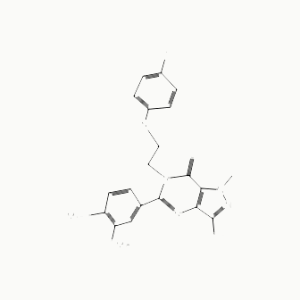 CCCc1nn(C)c2c(=O)n(CCNc3ccc(C(C)=O)cc3)c(-c3ccc(OC)c(OC)c3)nc12